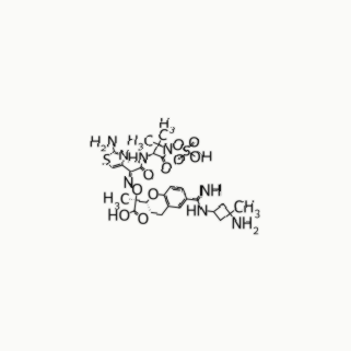 CC1(N)CC(NC(=N)c2ccc3c(c2)CC[C@H]([C@](C)(O/N=C(\C(=O)N[C@@H]2C(=O)N(OS(=O)(=O)O)C2(C)C)c2csc(N)n2)C(=O)O)O3)C1